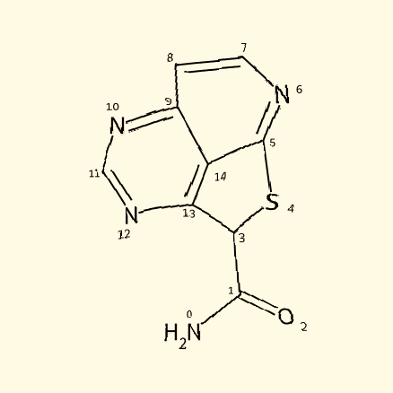 NC(=O)C1Sc2nccc3ncnc1c23